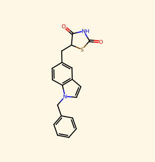 O=C1NC(=O)C(Cc2ccc3c(ccn3Cc3ccccc3)c2)S1